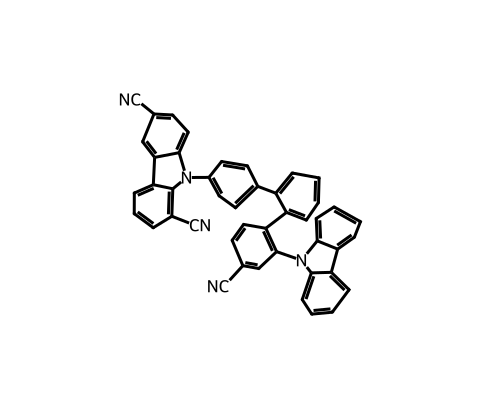 N#Cc1ccc(-c2ccccc2-c2ccc(-n3c4ccc(C#N)cc4c4cccc(C#N)c43)cc2)c(-n2c3ccccc3c3ccccc32)c1